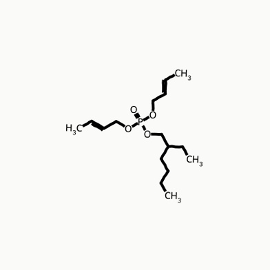 CC=CCOP(=O)(OCC=CC)OCC(CC)CCCC